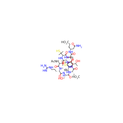 CC(=O)N[C@H](C(=O)N(C)[C@@H](CCCNC(=N)N)C(=O)N[C@@H](CO)C(=O)N[C@@H](CC(=O)O)C(=O)N[C@H](C(=O)N[C@@H](CC(C)C)C(=O)N[C@H](C(=O)N[C@@H](Cc1ccc(C(C)(C)C)cc1)C(=O)N[C@@H](CCC(=O)O)CC(N)=O)C(C)(C)S)C(C)O)C(C)(C)S